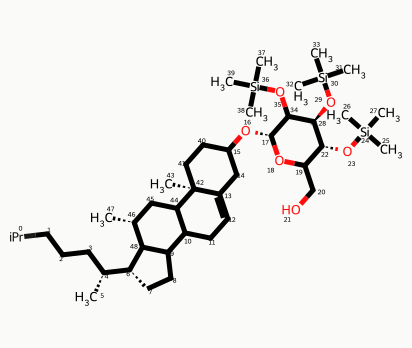 CC(C)CCC[C@@H](C)[C@H]1CCC2C3CC=C4CC(O[C@H]5OC(CO)[C@@H](O[Si](C)(C)C)[C@H](O[Si](C)(C)C)C5O[Si](C)(C)C)CC[C@]4(C)C3C[C@@H](C)C21